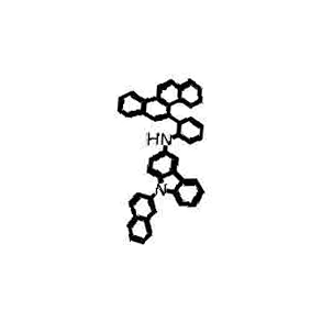 C1=CC(Nc2ccc3c(c2)c2ccccc2n3-c2ccc3ccccc3c2)C(c2cc3ccccc3c3ccc4c(c23)=CCCC=4)C=C1